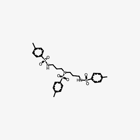 Cc1ccc(S(=O)(=O)NCCCN(CCCNS(=O)(=O)c2ccc(C)cc2)S(=O)(=O)c2ccc(C)cc2)cc1